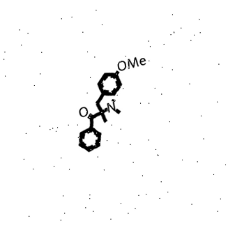 COc1ccc(CC(C)(C(=O)c2ccccc2)N(C)C)cc1